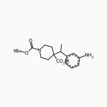 CCOC(=O)C1(C(C)c2cccc(N)c2)CCN(C(=O)OC(C)(C)C)CC1